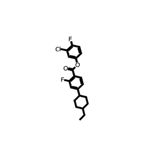 CCC1CCC(c2ccc(C(=O)Oc3ccc(F)c(Cl)c3)c(F)c2)CC1